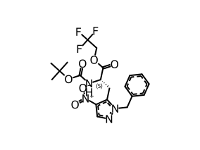 CC(C)(C)OC(=O)N[C@@H](Cc1c([N+](=O)[O-])cnn1Cc1ccccc1)C(=O)OCC(F)(F)F